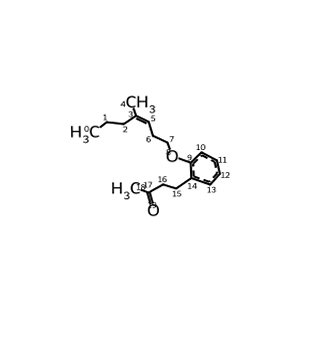 CCCC(C)=CCCOc1ccccc1CCC(C)=O